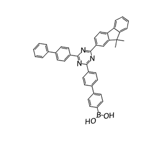 CC1(C)c2ccccc2-c2ccc(-c3nc(-c4ccc(-c5ccccc5)cc4)nc(-c4ccc(-c5ccc(B(O)O)cc5)cc4)n3)cc21